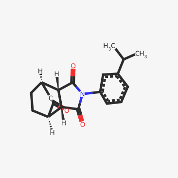 CC(C)c1cccc(N2C(=O)[C@H]3[C@@H]4CC[C@@H](C(=O)C4)[C@H]3C2=O)c1